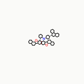 c1ccc(N(c2ccc(-c3cc4ccccc4c4ccccc34)cc2)c2cccc3oc4c5ccccc5ccc4c23)c(-c2cccc3c2oc2c4ccccc4ccc32)c1